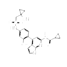 Cc1cc(NS(=O)(=O)CC2(C#N)CC2)ccc1-c1cc(NC(=O)C2CC2)nc2[nH]ccc12